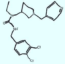 CCN(C(=O)NCc1ccc(Cl)c(Cl)c1)C1CCN(Cc2ccncc2)C1